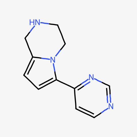 c1cc(-c2ccc3n2CCNC3)ncn1